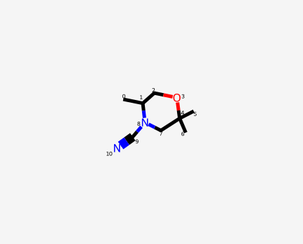 CC1COC(C)(C)CN1C#N